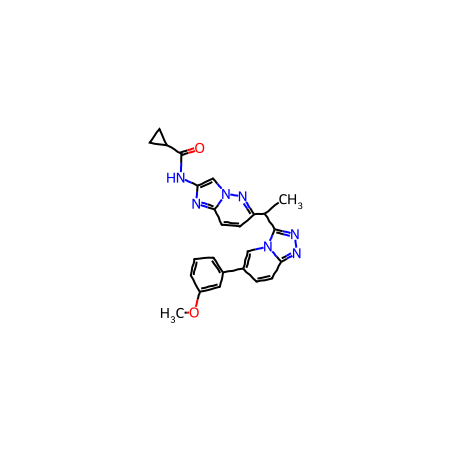 COc1cccc(-c2ccc3nnc(C(C)c4ccc5nc(NC(=O)C6CC6)cn5n4)n3c2)c1